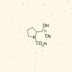 N#C[C@@H](O)C1CCCN1C(=O)O